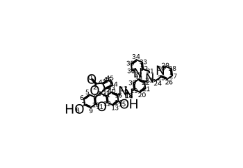 O=C1OC2(c3ccc(O)cc3Oc3cc(O)c(/N=N/c4ccc(N(Cc5ccccn5)Cc5ccccn5)cc4)cc32)c2ccccc21